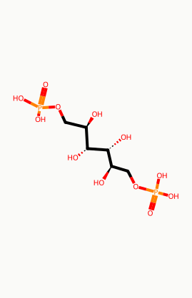 O=P(O)(O)OC[C@@H](O)[C@@H](O)[C@H](O)[C@H](O)COP(=O)(O)O